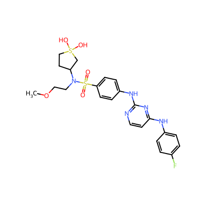 COCCN(C1CCS(O)(O)C1)S(=O)(=O)c1ccc(Nc2nccc(Nc3ccc(F)cc3)n2)cc1